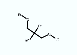 CCCC(CC)(COCC)COCC